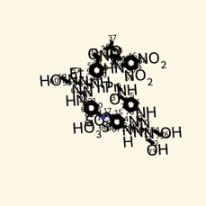 CCCNC(=O)c1ccc(Nc2nc(Nc3ccc(/C=C/c4ccc(Nc5nc(Nc6ccc(C(=O)NCC(C)OC(C)(C)CNc7ccc([N+](=O)[O-])cc7[N+](=O)[O-])cc6)nc(N(CC)CCO)n5)cc4S(=O)(=O)O)c(S(=O)(=O)O)c3)nc(N(CCO)CCO)n2)cc1